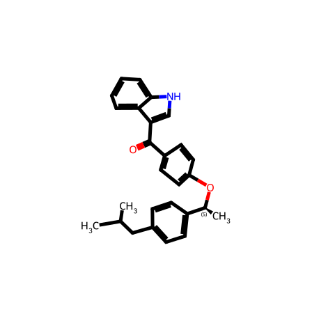 CC(C)Cc1ccc([C@H](C)Oc2ccc(C(=O)c3c[nH]c4ccccc34)cc2)cc1